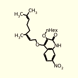 CCCCCCOc1c(OCC=C(C)CCC=C(C)C)c2ccc([N+](=O)[O-])cc2[nH]c1=O